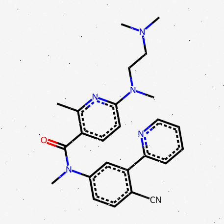 Cc1nc(N(C)CCN(C)C)ccc1C(=O)N(C)c1ccc(C#N)c(-c2ccccn2)c1